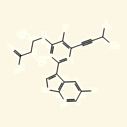 CC(C)C#Cc1nc(-c2c[nH]c3ncc(F)cc23)nc(N[C@@H](C)[C@H](C)C(=O)O)c1F